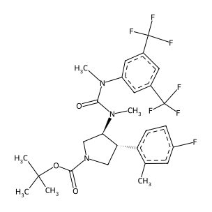 Cc1cc(F)ccc1[C@@H]1CN(C(=O)OC(C)(C)C)C[C@H]1N(C)C(=O)N(C)c1cc(C(F)(F)F)cc(C(F)(F)F)c1